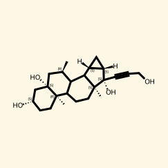 C[C@@H]1C[C@]2(O)C[C@@H](O)CC[C@]2(C)C2CC[C@@]3(C)C(C21)[C@@H]1C[C@@H]1[C@@]3(O)C#CCO